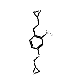 Nc1cc(OCC2CO2)ccc1CCC1CO1